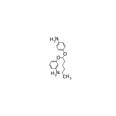 CCCCCC(Oc1ccc(N)cc1)Oc1cccc(N)c1